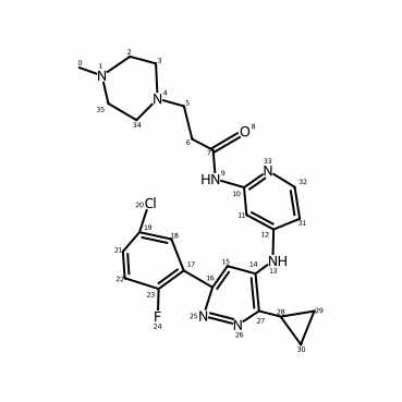 CN1CCN(CCC(=O)Nc2cc(Nc3cc(-c4cc(Cl)ccc4F)nnc3C3CC3)ccn2)CC1